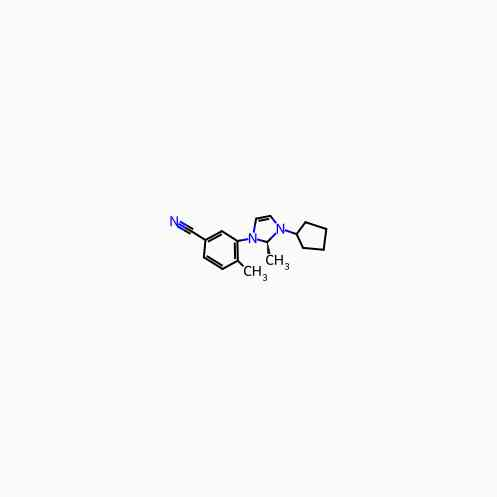 Cc1ccc(C#N)cc1N1C=CN(C2CCCC2)[C@H]1C